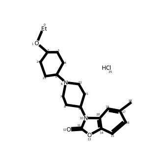 CCOC1CCC(N2CCC(n3c(=O)oc4ccc(C)cc43)CC2)CC1.Cl